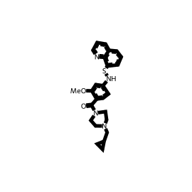 COc1cc(NSc2cccc3cccnc23)ccc1C(=O)N1CCN(CC2CC2)CC1